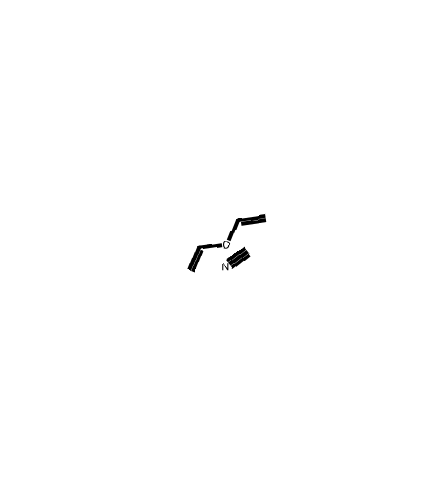 C#N.C=COC=C